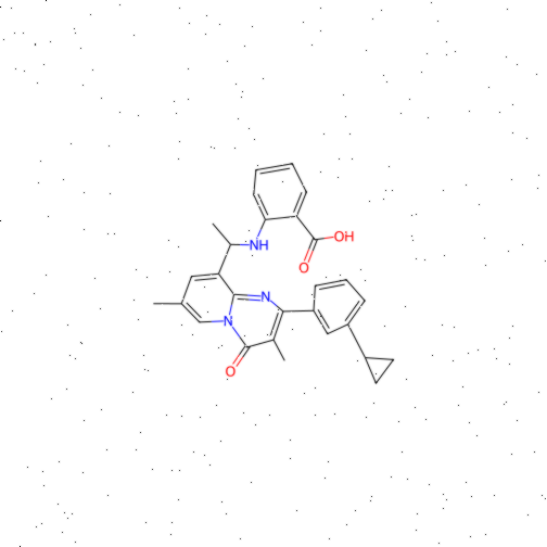 Cc1cc(C(C)Nc2ccccc2C(=O)O)c2nc(-c3cccc(C4CC4)c3)c(C)c(=O)n2c1